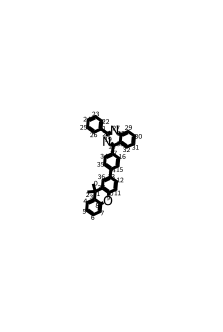 CC1(C)c2ccccc2Oc2ccc(-c3ccc(-c4nc(-c5ccccc5)nc5ccccc45)cc3)cc21